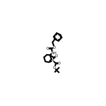 CC(C)(C)OC(=O)N1C(=O)C2(NC(=O)OCc3ccccc3)CCCC1C2